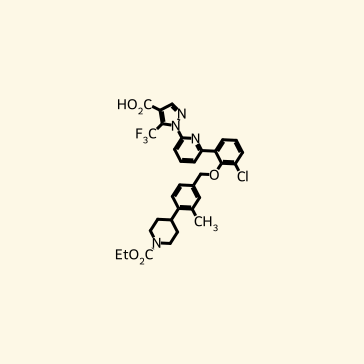 CCOC(=O)N1CCC(c2ccc(COc3c(Cl)cccc3-c3cccc(-n4ncc(C(=O)O)c4C(F)(F)F)n3)cc2C)CC1